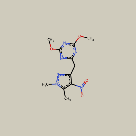 COc1nc(Cc2nn(C)c(C)c2[N+](=O)[O-])nc(OC)n1